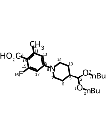 CCCCOC(OCCCC)C1CCN(c2cc(C)c(C(=O)O)c(F)c2)CC1